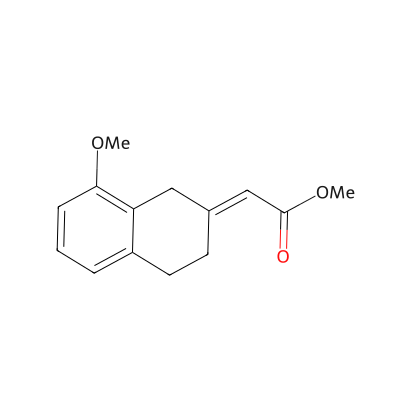 COC(=O)C=C1CCc2cccc(OC)c2C1